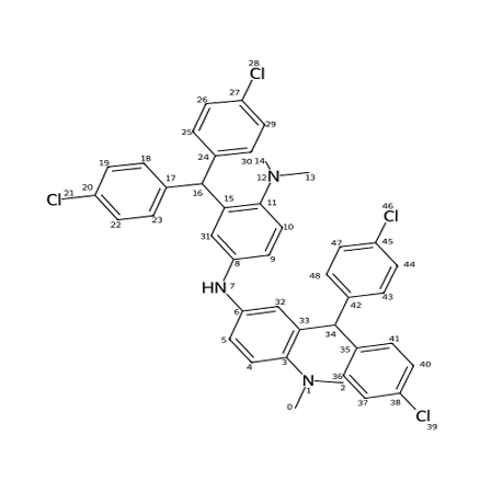 CN(C)c1ccc(Nc2ccc(N(C)C)c(C(c3ccc(Cl)cc3)c3ccc(Cl)cc3)c2)cc1C(c1ccc(Cl)cc1)c1ccc(Cl)cc1